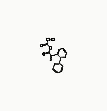 C=C(C(=O)OC(=O)C=O)c1ccccc1-c1ccccc1